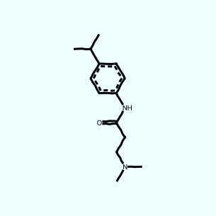 CC(C)c1ccc(NC(=O)CCN(C)C)cc1